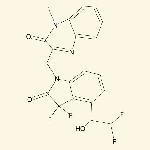 Cn1c(=O)c(CN2C(=O)C(F)(F)c3c(C(O)C(F)F)cccc32)nc2ccccc21